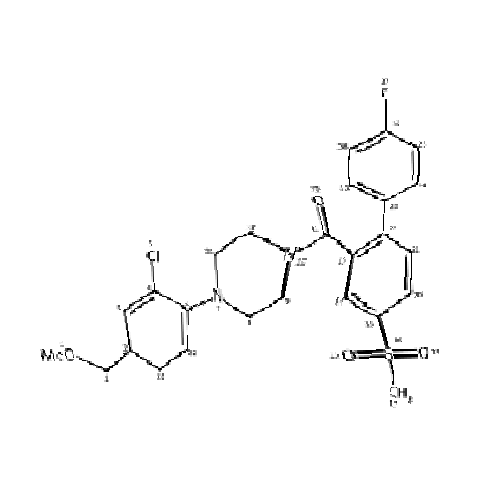 COCC1C=C(Cl)C(N2CCN(C(=O)c3cc(S(C)(=O)=O)ccc3-c3ccc(F)cc3)CC2)=CC1